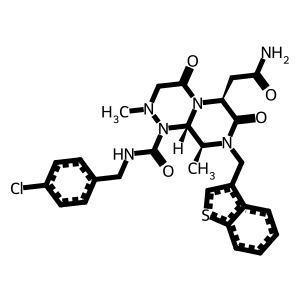 C[C@H]1[C@H]2N(C(=O)CN(C)N2C(=O)NCc2ccc(Cl)cc2)[C@@H](CC(N)=O)C(=O)N1Cc1csc2ccccc12